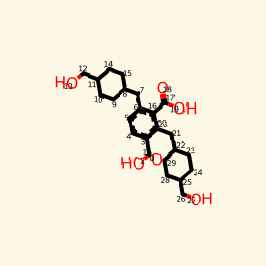 O=C(O)c1ccc(CC2CCC(CO)CC2)c(C(=O)O)c1CC1CCC(CO)CC1